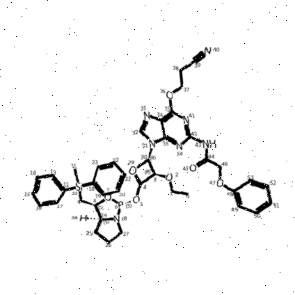 CCO[C@H]1C(O[P@@]2O[C@H](C[Si](C)(c3ccccc3)c3ccccc3)[C@@H]3CCCN32)O[C@H]1n1cnc2c(OCCC#N)nc(NC(=O)COc3ccccc3)nc21